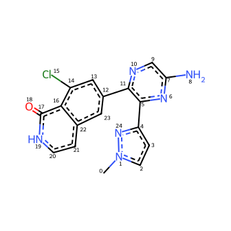 Cn1ccc(-c2nc(N)cnc2-c2cc(Cl)c3c(=O)[nH]ccc3c2)n1